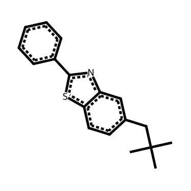 CC(C)(C)Cc1ccc2sc(-c3ccccc3)nc2c1